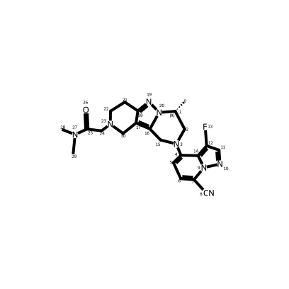 C[C@@H]1CN(c2ccc(C#N)n3ncc(F)c23)Cc2c3c(nn21)CCN(CC(=O)N(C)C)C3